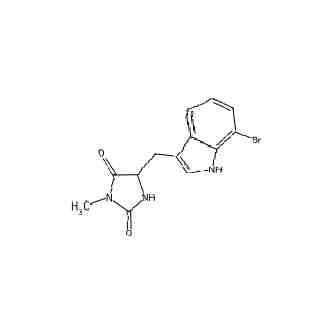 CN1C(=O)NC(Cc2c[nH]c3c(Br)cccc23)C1=O